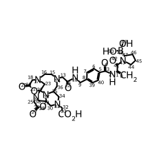 C=C(NC(=O)c1ccc(CNC(=O)CN2CCN3CC(=O)OC4(C3)N3CC(=O)OC5(CN(CC(=O)O)CC(C2)N54)C3)cc1)C(=O)N1CCC[C@H]1B(O)O